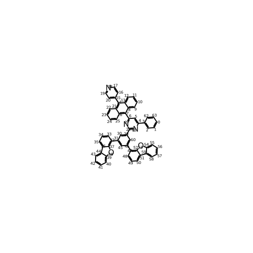 c1ccc(-c2cc(-c3c4ccccc4c(-c4ccncc4)c4ccccc34)nc(-c3cc(-c4cccc5c4oc4ccccc45)cc(-c4cccc5c4oc4ccccc45)c3)n2)cc1